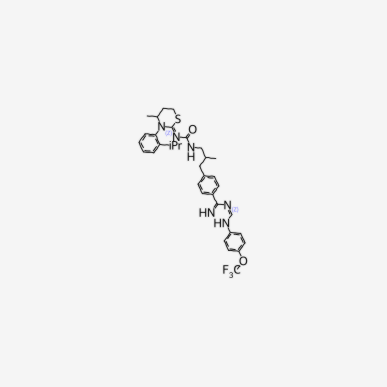 CC(CNC(=O)/N=C1\SCCC(C)N1c1ccccc1C(C)C)Cc1ccc(C(=N)/N=C\Nc2ccc(OC(F)(F)F)cc2)cc1